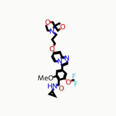 COc1cc(-c2cnc3cc(OCCCN4CCOCC45COC5)ccn23)cc(OC(F)F)c1C(=O)NC1CC1